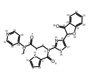 CN(C(=O)CCN(C(=O)c1cccs1)c1nc(C2Oc3ccccc3C2=O)cs1)c1ccncc1